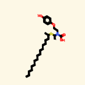 [CH2]C(SC(C)CCCCCCCCCCCCCCCC)N(CCOc1ccc(O)cc1)C(=O)O